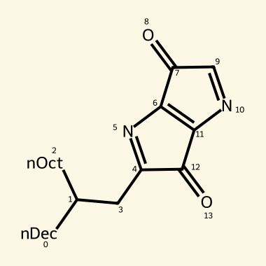 CCCCCCCCCCC(CCCCCCCC)Cc1nc2c(=O)cnc=2c1=O